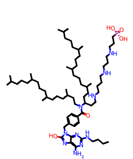 CCCCNc1nc(N)c2nc(O)n(Cc3ccc(C(=O)N(CCC(C)CCCC(C)CCCC(C)CCCC(C)C)C(CCNCCCCNCCCNCCCP(=O)(O)O)CCC(C)CCCC(C)CCCC(C)CCCC(C)C)cc3)c2n1